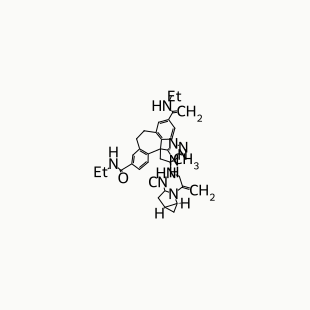 C=C(NCC)c1ccc2c(c1)CCc1cc(C(=O)NCC)ccc1C2(C[C@@H](C)NCC(=C)N1C(C#N)C[C@@H]2C[C@@H]21)c1nnn[nH]1